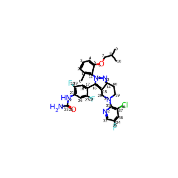 Cc1cccc(OCC(C)C)c1-n1nc2c(c1-c1cc(F)c(NC(N)=O)cc1F)CN(c1ncc(F)cc1Cl)CC2